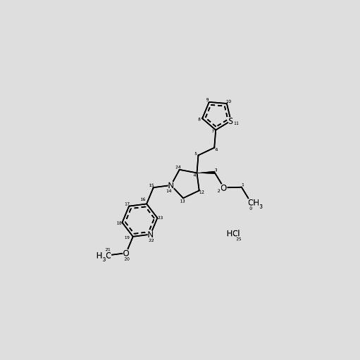 CCOC[C@@]1(CCc2cccs2)CCN(Cc2ccc(OC)nc2)C1.Cl